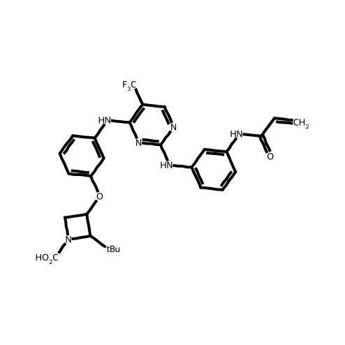 C=CC(=O)Nc1cccc(Nc2ncc(C(F)(F)F)c(Nc3cccc(OC4CN(C(=O)O)C4C(C)(C)C)c3)n2)c1